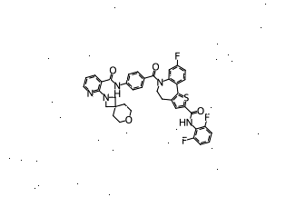 O=C(Nc1c(F)cccc1F)c1cc2c(s1)-c1ccc(F)cc1N(C(=O)c1ccc(NC(=O)c3cccnc3N3CC4(CCOCC4)C3)cc1)CC2